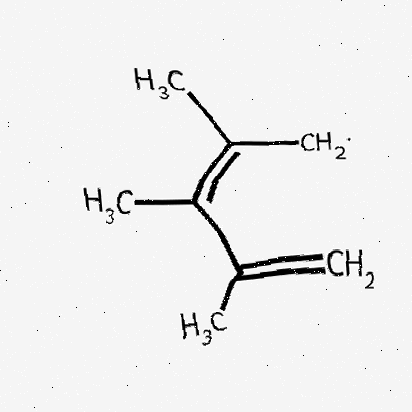 [CH2]C(C)=C(C)C(=C)C